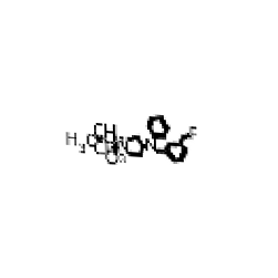 CC(C)(C)OC(=O)N1CCC(N(Cc2cccc(CF)c2)c2ccccc2)CC1